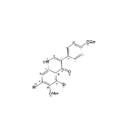 COc1ccc(-c2c[nH]c3cc(Br)c(OC)c(Br)c3c2=O)cc1